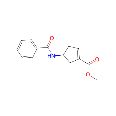 COC(=O)C1=CC[C@H](NC(=O)c2ccccc2)C1